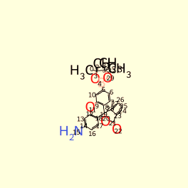 CC1(C)OB(c2ccc3c(c2)Oc2cc(N)ccc2C32OC(=O)c3ccccc32)OC1(C)C